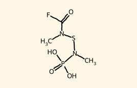 CN(SN(C)P(=O)(O)O)C(=O)F